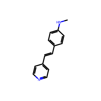 CNc1ccc(/C=C/c2ccncc2)cc1